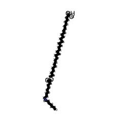 CCCCCC/C=C\CCCCCCCC(=O)OCCCCCCCCCCCCCCCCCCCCCCCCCCCCCC(=O)O